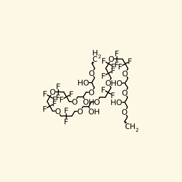 C=CCOCC(O)COCC(O)COCC(F)(F)CC(F)(F)OC(F)(F)CC(F)(F)COCC(F)(F)CCOCC(O)COCCC(F)(F)COCC(F)(F)CC(F)(F)OC(F)(F)CC(F)(F)COCC(O)COCC(O)COCC=C